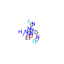 CCOc1nc(N)c2nc(-c3cncc(F)c3)n(Cc3ccc(CN4CCC(F)(F)CC4)cc3)c2n1